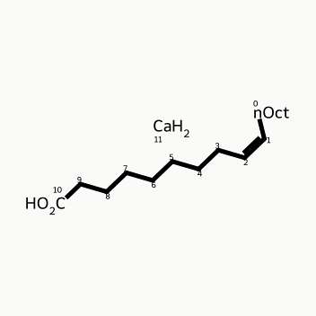 CCCCCCCC/C=C\CCCCCCCC(=O)O.[CaH2]